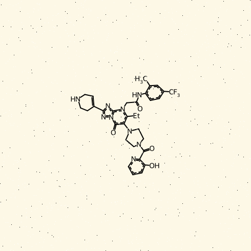 CCc1c(N2CCN(C(=O)c3ncccc3O)CC2)c(=O)n2nc(C3=CCNCC3)nc2n1CC(=O)Nc1ccc(C(F)(F)F)cc1C